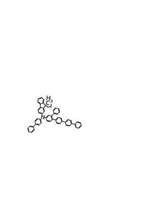 CC1(CI)c2ccccc2-c2ccc(N(c3ccc(-c4ccccc4)cc3)c3ccc(-c4ccc(-c5ccc(-c6ccccc6)cc5)cc4)c(-c4ccccc4)c3)cc21